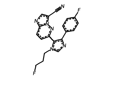 N#Cc1cnc2ccc(-c3c(-c4ccc(F)cc4)ncn3CCCF)nn12